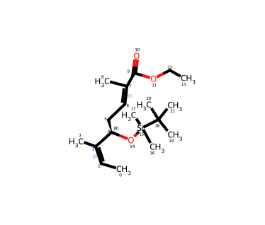 C/C=C(/C)[C@@H](C/C=C(\C)C(=O)OCC)O[Si](C)(C)C(C)(C)C